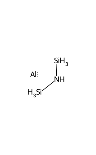 [Al].[SiH3]N[SiH3]